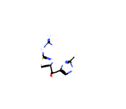 CC(=O)Nc1nc(C(=O)c2csc(NC(=N)N)n2)c[nH]1